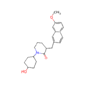 COc1ccc2ccc(CC3CCCN(C4CCC(O)CC4)C3=O)cc2c1